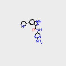 Nc1ncc(NC(=O)c2n[nH]c3ccc(-c4cccnc4)cc23)cn1